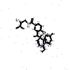 C=C(NCC(CC)=C(C)C)c1ccc(CC)c(C(C)C(C)(/C=C\C(=C/C)c2ccc(C)cc2F)C(=C)C)c1